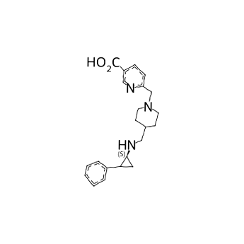 O=C(O)c1ccc(CN2CCC(CN[C@H]3CC3c3ccccc3)CC2)nc1